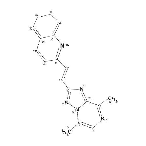 Cc1ncc(C)n2nc(C=Cc3ccc4c(n3)=CCCC=4)nc12